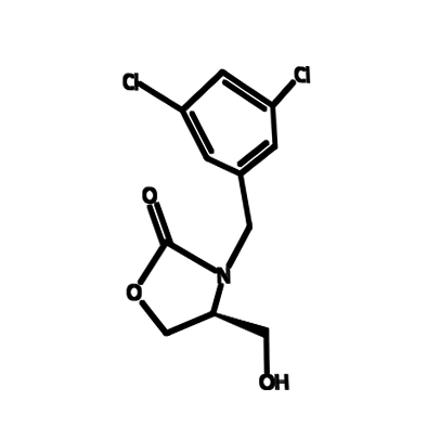 O=C1OC[C@H](CO)N1Cc1cc(Cl)cc(Cl)c1